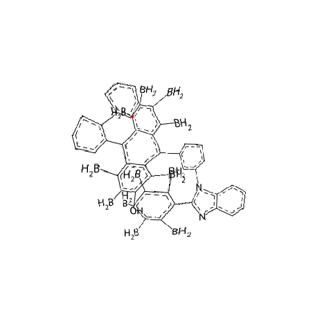 Bc1c(B)c(B)c(-c2nc3ccccc3n2-c2cccc(-c3c4c(B)c(B)c(B)c(B)c4c(-c4ccccc4-c4ccccc4)c4c(B)c(B)c(O)c(B)c34)c2)c(B)c1B